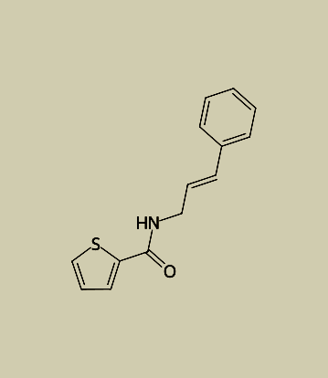 O=C(NCC=Cc1ccccc1)c1cccs1